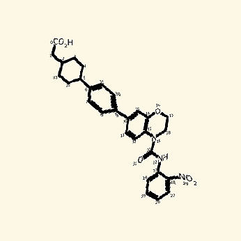 O=C(O)CC1CCC(c2ccc(-c3ccc4c(c3)OCCN4C(=O)Nc3ccccc3[N+](=O)[O-])cc2)CC1